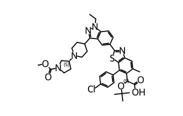 CCn1nc(C2CCN([C@H]3CCN(C(=O)OC)C3)CC2)c2cc(-c3nc4cc(C)c([C@H](OC(C)(C)C)C(=O)O)c(-c5ccc(Cl)cc5)c4s3)ccc21